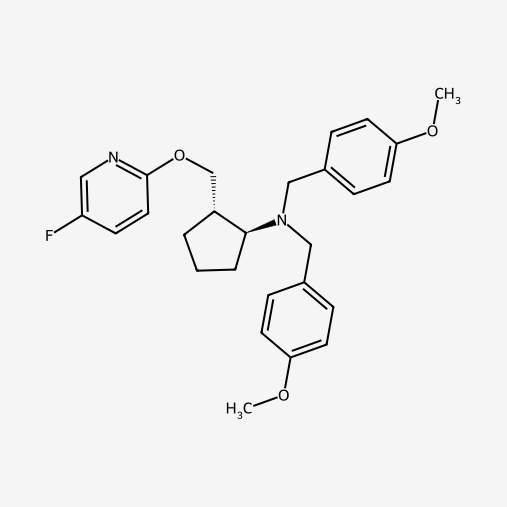 COc1ccc(CN(Cc2ccc(OC)cc2)[C@H]2CCC[C@@H]2COc2ccc(F)cn2)cc1